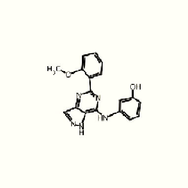 COc1ccccc1-c1nc(Nc2cccc(O)c2)c2[nH]ncc2n1